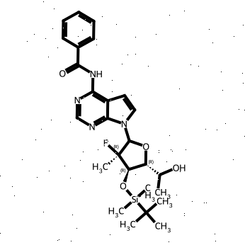 CC(O)[C@H]1OC(n2ccc3c(NC(=O)c4ccccc4)ncnc32)[C@](C)(F)[C@@H]1O[Si](C)(C)C(C)(C)C